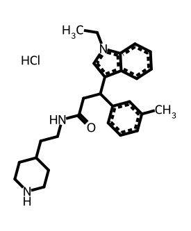 CCn1cc(C(CC(=O)NCCC2CCNCC2)c2cccc(C)c2)c2ccccc21.Cl